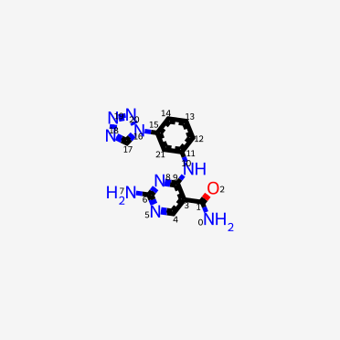 NC(=O)c1cnc(N)nc1Nc1cccc(-n2cnnn2)c1